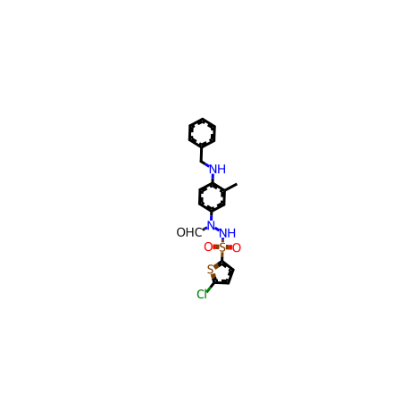 Cc1cc(N(C=O)NS(=O)(=O)c2ccc(Cl)s2)ccc1NCc1ccccc1